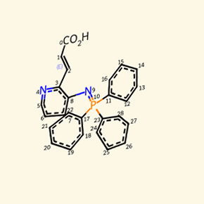 O=C(O)/C=C/c1ncccc1N=P(c1ccccc1)(c1ccccc1)c1ccccc1